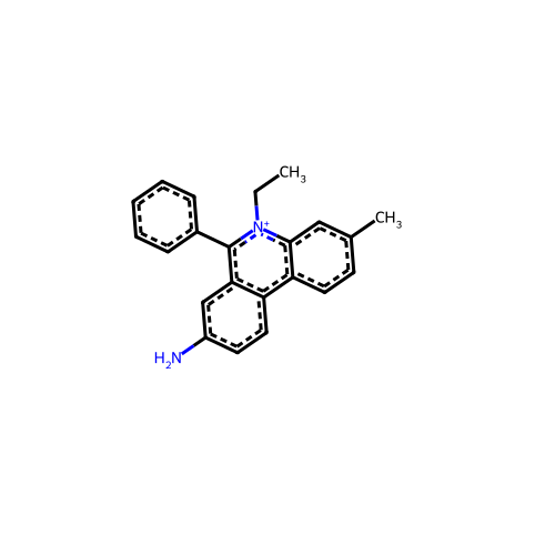 CC[n+]1c(-c2ccccc2)c2cc(N)ccc2c2ccc(C)cc21